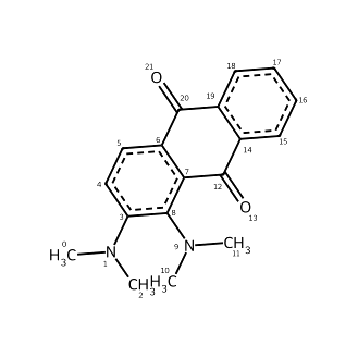 CN(C)c1ccc2c(c1N(C)C)C(=O)c1ccccc1C2=O